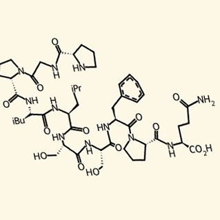 CC[C@H](C)[C@H](NC(=O)[C@@H]1CCCN1C(=O)CNC(=O)[C@@H]1CCCN1)C(=O)N[C@@H](CC(C)C)C(=O)N[C@@H](CO)C(=O)N[C@@H](CO)C(=O)N[C@@H](Cc1ccccc1)C(=O)N1CCC[C@H]1C(=O)N[C@@H](CCC(N)=O)C(=O)O